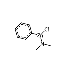 C[N](C)[Zn]([Cl])[c]1ccccc1